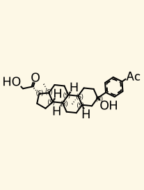 CC(=O)c1ccc([C@@]2(O)CC[C@@]3(C)[C@@H](CC[C@@H]4[C@@H]3CC[C@]3(C)[C@@H](C(=O)CO)CC[C@@H]43)C2)cc1